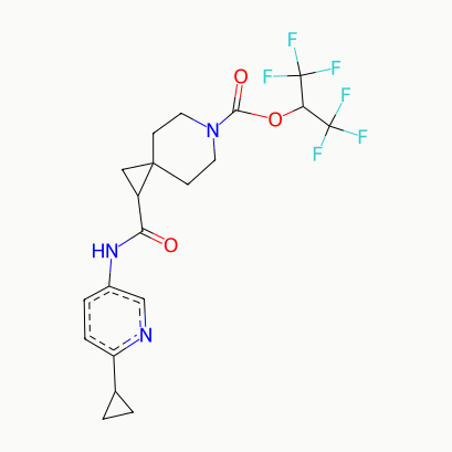 O=C(Nc1ccc(C2CC2)nc1)C1CC12CCN(C(=O)OC(C(F)(F)F)C(F)(F)F)CC2